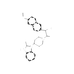 COc1ccc2cc(C(O)C(C)N3CCC(N4c5ccccc5NC4C)CC3)ccc2c1